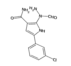 NC(=O)c1cc(-c2cccc(Cl)c2)[nH]c1N(N)C=O